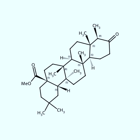 COC(=O)[C@]12CCC(C)(C)C[C@H]1[C@]1(C)CC[C@@]3(C)[C@@H]4CCC(=O)[C@H](C)[C@@]4(C)CC[C@@H]3[C@@]1(C)CC2